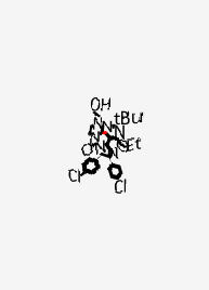 CCOc1nc(C(C)(C)C)ncc1C1=N[C@H](c2ccc(Cl)cc2)[C@H](c2ccc(Cl)cc2)N1C(=O)N1CCN(CCO)CC1